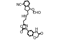 N#Cc1cccc2c1CC(CNCCc1nn(-c3ccc4c(c3)NC(=O)CO4)c(=O)o1)C2OC=O